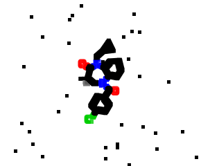 C[C@H]1CN(C(=O)c2ccc(Cl)cc2)c2ccccc2N(CC2CC2)C1=O